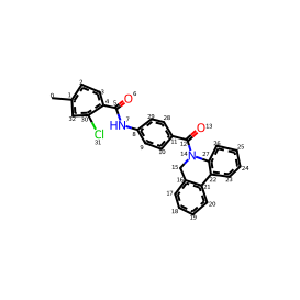 Cc1ccc(C(=O)Nc2ccc(C(=O)N3Cc4ccccc4-c4ccccc43)cc2)c(Cl)c1